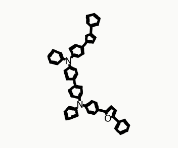 C1=C(c2ccccc2)CC(c2ccc(N(c3ccccc3)c3ccc(-c4ccc(N(c5ccccc5)c5ccc(-c6ccc(-c7ccccc7)o6)cc5)cc4)cc3)cc2)=C1